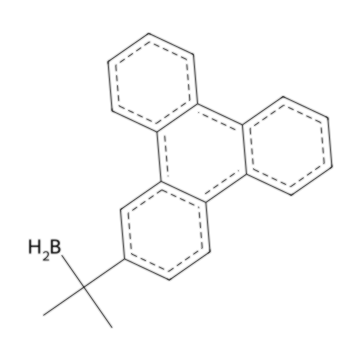 BC(C)(C)c1ccc2c3ccccc3c3ccccc3c2c1